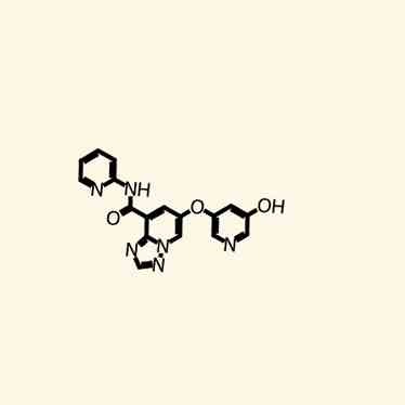 O=C(Nc1ccccn1)c1cc(Oc2cncc(O)c2)cn2ncnc12